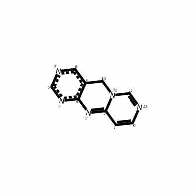 C1=CC2=Nc3ncncc3CN2C=N1